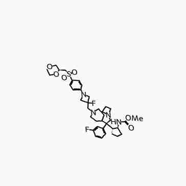 COC(=O)N[C@H]1CCC[C@@H]1[C@](CN1CCC1)(c1cccc(F)c1)C1CCN(CC2(F)CN(c3ccc(S(=O)(=O)C[C@@H]4COCCO4)cc3)C2)CC1